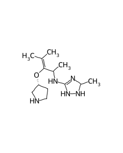 CC(C)=C(O[C@@H]1CCNC1)C(C)NC1=NC(C)NN1